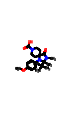 COc1ccc(N2C3(CCN(C(=O)O)CC3)C(=O)N(C)C2(C)C(C)(C)C)cc1